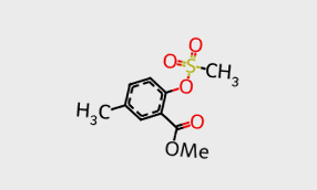 COC(=O)c1cc(C)ccc1OS(C)(=O)=O